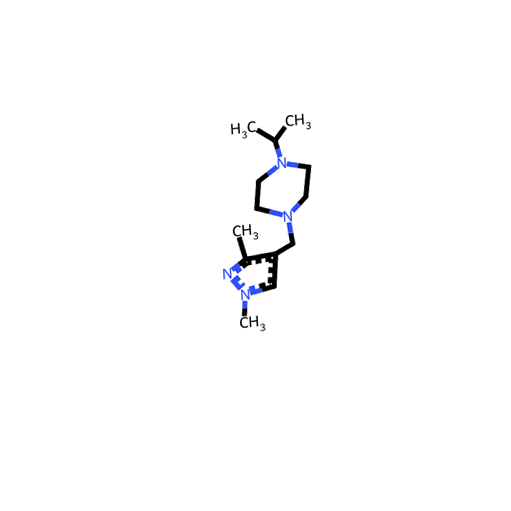 Cc1nn(C)cc1CN1CCN(C(C)C)CC1